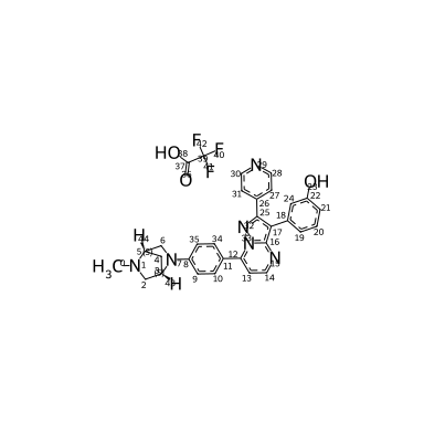 CN1C[C@@H]2C[C@H]1CN2c1ccc(-c2ccnc3c(-c4cccc(O)c4)c(-c4ccncc4)nn23)cc1.O=C(O)C(F)(F)F